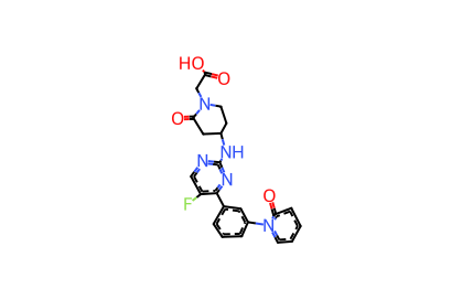 O=C(O)CN1CCC(Nc2ncc(F)c(-c3cccc(-n4ccccc4=O)c3)n2)CC1=O